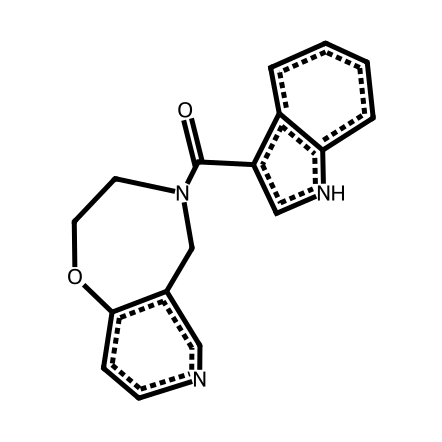 O=C(c1c[nH]c2ccccc12)N1CCOc2ccncc2C1